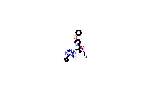 Cc1noc(-c2ccc(OC3CCCCC3)cn2)c1CNc1ncnc(C2CCC2)n1